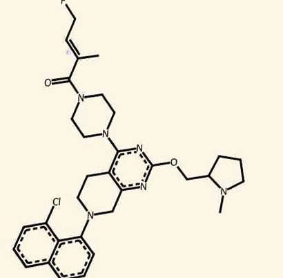 C/C(=C\CF)C(=O)N1CCN(c2nc(OCC3CCCN3C)nc3c2CCN(c2cccc4cccc(Cl)c24)C3)CC1